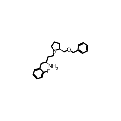 N[C@@H](CCN1CCC[C@H]1COCc1ccccc1)Cc1ccccc1F